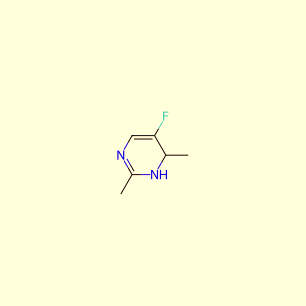 CC1=NC=C(F)C(C)N1